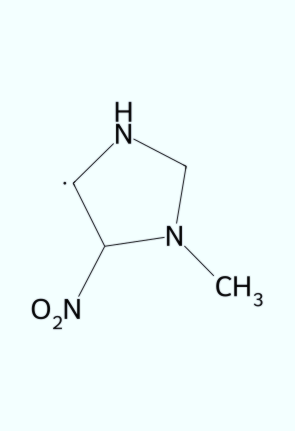 CN1CN[CH]C1[N+](=O)[O-]